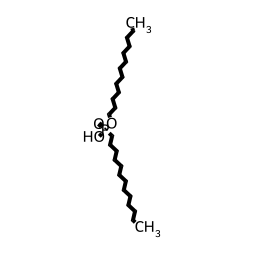 CCCCCCCCCCCCCOP(=O)(O)CCCCCCCCCCCCC